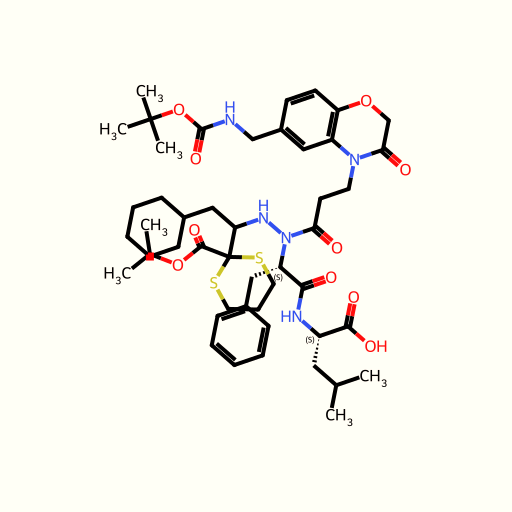 CC(C)C[C@H](NC(=O)[C@H](Cc1ccccc1)N(NC(CC1CCCCC1)C1(C(=O)OC(C)C)SCCCS1)C(=O)CCN1C(=O)COc2ccc(CNC(=O)OC(C)(C)C)cc21)C(=O)O